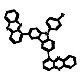 Brc1ccc(-n2c3ccc(-c4cccc5nc6ccccc6nc45)cc3c3cc(-c4cccc5nc6ccccc6nc45)ccc32)cc1